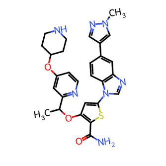 CC(Oc1cc(-n2cnc3cc(-c4cnn(C)c4)ccc32)sc1C(N)=O)c1cc(OC2CCNCC2)ccn1